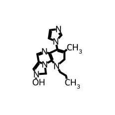 CCCN1CC(C)=C(n2ccnc2)C2=C1N1CN(O)C=C1C=N2